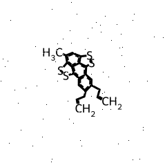 C=CCc1cc2c3c4c(cc(C)c5c4c(c2cc1CC=C)SS5)SS3